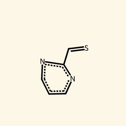 S=Cc1ncccn1